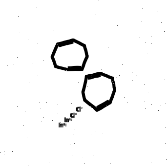 C1=CCCC=CCC1.C1=CCCC=CCC1.[Cl-].[Cl-].[In+].[In+]